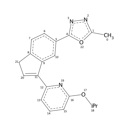 Cc1nnc(-c2ccc3c(c2)C(c2cccc(OC(C)C)n2)=CC3)o1